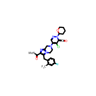 CNC(=O)c1nc2n(c1Cc1ccc(F)cc1C(F)(F)F)CCN(C1=C(Cl)C(=C=O)N(C3CCCCO3)N=C1)C2